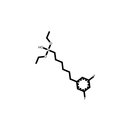 CCO[Si](O)(CCCCCCc1cc(F)cc(F)c1)OCC